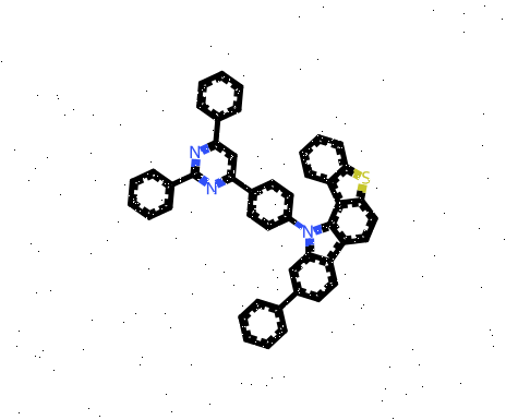 c1ccc(-c2ccc3c4ccc5sc6ccccc6c5c4n(-c4ccc(-c5cc(-c6ccccc6)nc(-c6ccccc6)n5)cc4)c3c2)cc1